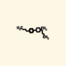 CCCCc1ccc(C2CCC(C)(CCCC)CC2)cc1